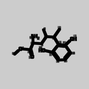 COC(=O)C(N)CC(C)C(C)c1c(O)cccc1O